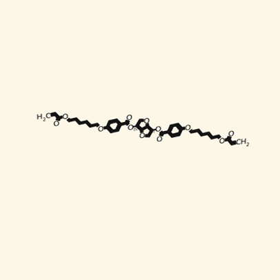 C=CC(=O)OCCCCCCOc1ccc(C(=O)O[C@H]2COC3C2OC[C@@H]3OC(=O)c2ccc(OCCCCCCOC(=O)C=C)cc2)cc1